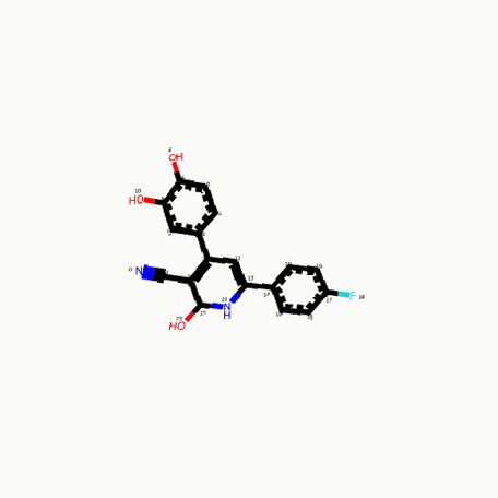 N#CC1=C(c2ccc(O)c(O)c2)C=C(c2ccc(F)cc2)NC1O